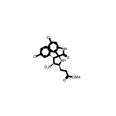 COC(=O)CC[C@@H]1N[C@@]2(C(=O)Nc3cc(Cl)ccc32)[C@@H](c2cccc(Cl)c2)[C@@H]1[N+](=O)[O-]